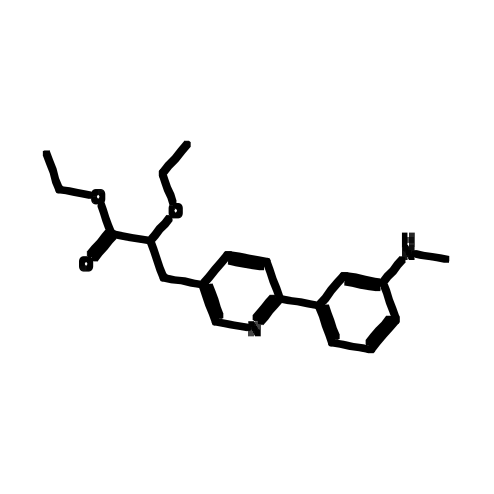 CCOC(=O)C(Cc1ccc(-c2cccc(NC)c2)nc1)OCC